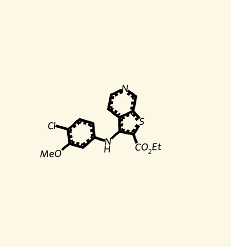 CCOC(=O)c1sc2cnccc2c1Nc1ccc(Cl)c(OC)c1